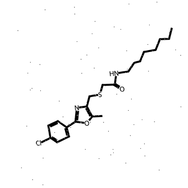 CCCCCCCCNC(=O)CSCc1nc(-c2ccc(Cl)cc2)oc1C